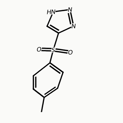 Cc1ccc(S(=O)(=O)c2c[nH]nn2)cc1